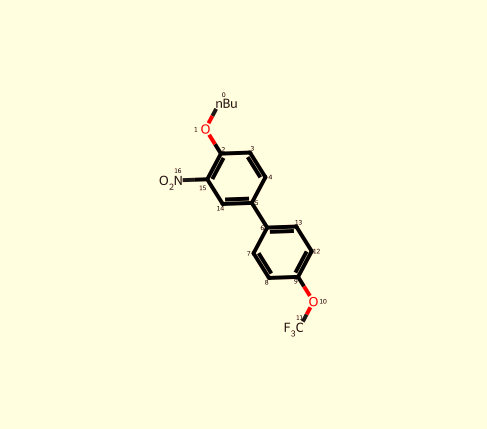 CCCCOc1ccc(-c2ccc(OC(F)(F)F)cc2)cc1[N+](=O)[O-]